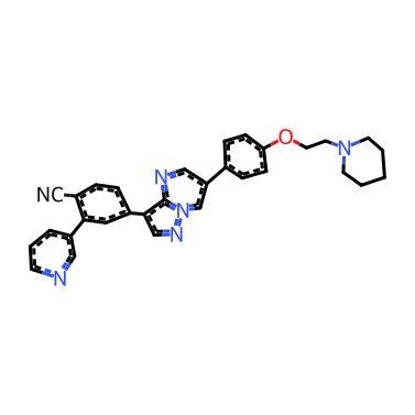 N#Cc1ccc(-c2cnn3cc(-c4ccc(OCCN5CCCCC5)cc4)cnc23)cc1-c1cccnc1